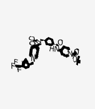 CC(C)(C)OC(=O)N1CCC(NC(=O)[C@H]2CC[C@H](CN3CC4(CCN(Cc5ccc(C(F)(F)F)cc5)CC4)OC3=O)CC2)CC1